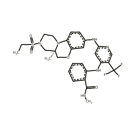 CCS(=O)(=O)N1CCN2c3ccc(Nc4cc(Nc5ccccc5C(=O)NC)c(C(F)(F)F)cn4)cc3OC[C@@]2(C)C1